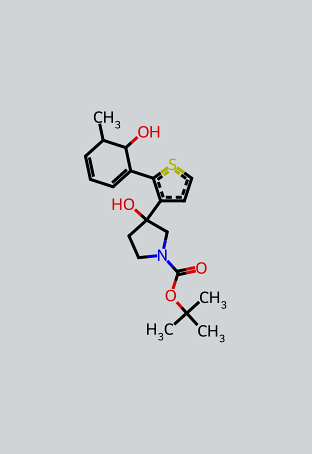 CC1C=CC=C(c2sccc2C2(O)CCN(C(=O)OC(C)(C)C)C2)C1O